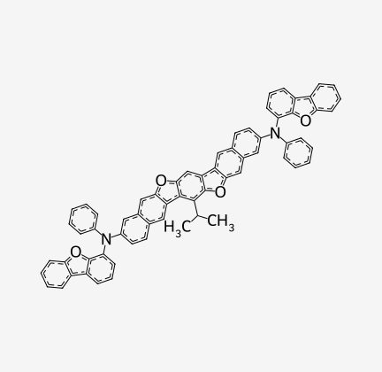 CC(C)c1c2oc3cc4cc(N(c5ccccc5)c5cccc6c5oc5ccccc56)ccc4cc3c2cc2oc3cc4cc(N(c5ccccc5)c5cccc6c5oc5ccccc56)ccc4cc3c12